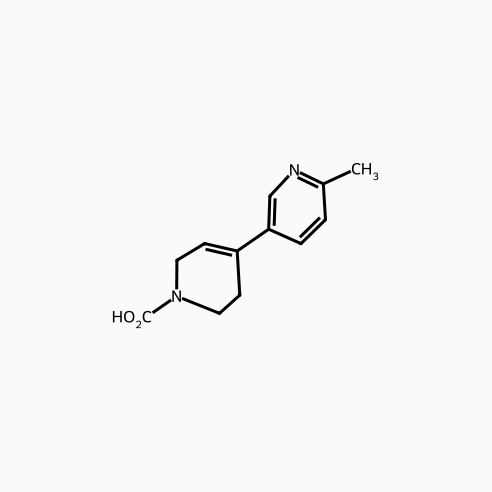 Cc1ccc(C2=CCN(C(=O)O)CC2)cn1